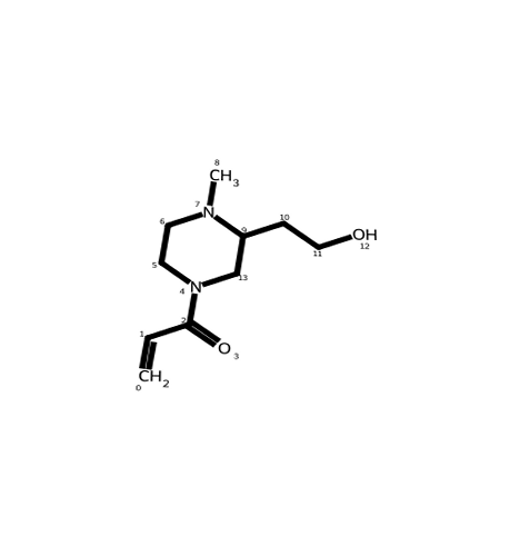 C=CC(=O)N1CCN(C)C(CCO)C1